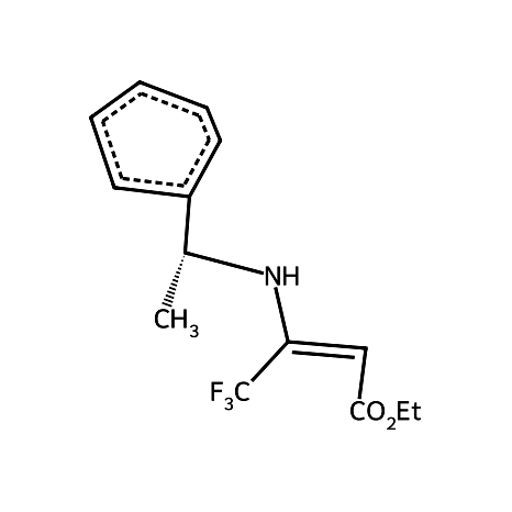 CCOC(=O)/C=C(/N[C@H](C)c1ccccc1)C(F)(F)F